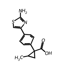 CC1CC1(C(=O)O)c1ccc(-c2csc(N)n2)cc1